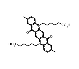 Cc1ccc2c(c1)c(=O)c1cc3c(cc1n2CCCCCC(=O)O)c(=O)c1cc(C)ccc1n3CCCCCC(=O)O